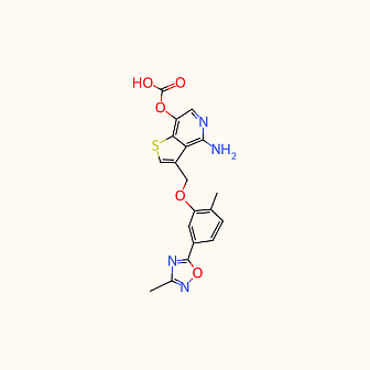 Cc1noc(-c2ccc(C)c(OCc3csc4c(OC(=O)O)cnc(N)c34)c2)n1